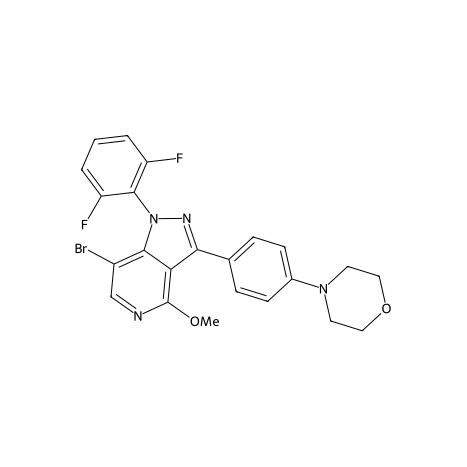 COc1ncc(Br)c2c1c(-c1ccc(N3CCOCC3)cc1)nn2-c1c(F)cccc1F